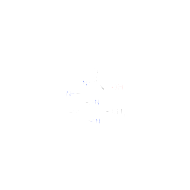 Cc1ncc2ccnc(N3CCC[C@H]3CO)c2n1